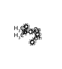 Cc1cc(C2CCN(C(=O)c3cc(OCc4ccccc4)c(F)cc3F)CC2)n(-c2ccccc2C)n1